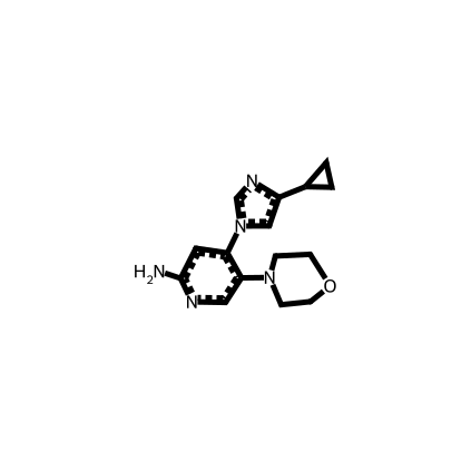 Nc1cc(-n2cnc(C3CC3)c2)c(N2CCOCC2)cn1